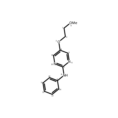 COCCOc1cnc(Nc2ccccc2)nc1